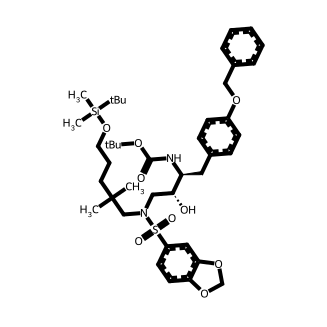 CC(C)(CCCO[Si](C)(C)C(C)(C)C)CN(C[C@@H](O)[C@H](Cc1ccc(OCc2ccccc2)cc1)NC(=O)OC(C)(C)C)S(=O)(=O)c1ccc2c(c1)OCO2